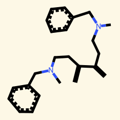 C=C(CCN(C)Cc1ccccc1)C(=C)CCN(C)Cc1ccccc1